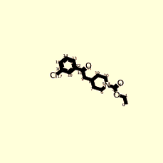 CCOC(=O)N1CCC(CC(=O)c2cccc(Cl)c2)CC1